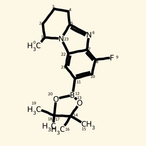 CC1CCCc2nc3c(F)cc(B4OC(C)(C)C(C)(C)O4)cc3n21